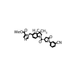 COC(=O)c1cncn1Cc1ccc2c(c1)C(C)(C)CN2C(=O)[C@H]1CC(=O)N(c2cccc(C#N)c2)C1